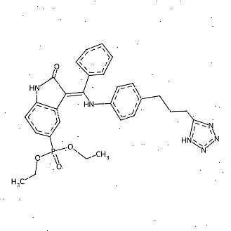 CCOP(=O)(OCC)c1ccc2c(c1)C(=C(Nc1ccc(CCCc3nnn[nH]3)cc1)c1ccccc1)C(=O)N2